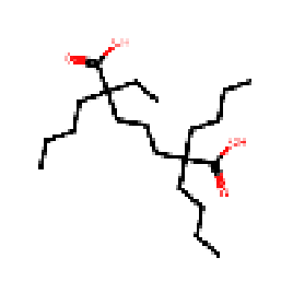 CCCCC(CC)(CCCC(CCCC)(CCCC)C(=O)O)C(=O)O